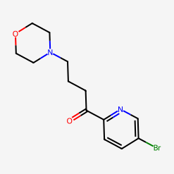 O=C(CCCN1CCOCC1)c1ccc(Br)cn1